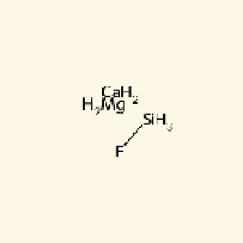 F[SiH3].[CaH2].[MgH2]